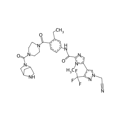 CCc1cc(NC(=O)c2ncc(-c3cn(CC#N)nc3C(F)(F)F)n2C)ccc1C(=O)N1CCN(C(=O)N2CC3CC2CN3)CC1